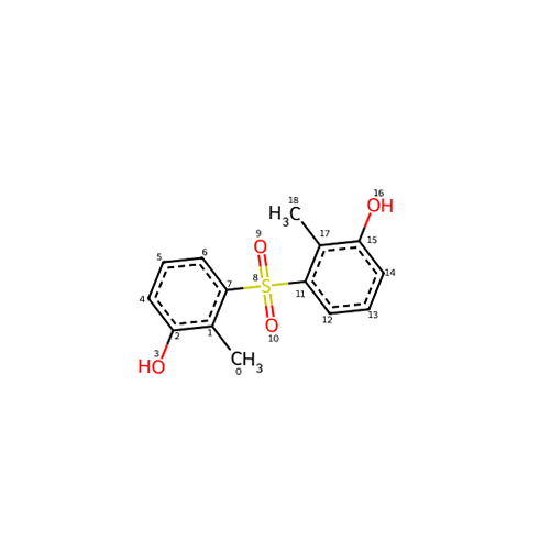 Cc1c(O)cccc1S(=O)(=O)c1cccc(O)c1C